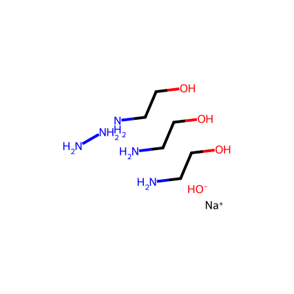 NCCO.NCCO.NCCO.NN.[Na+].[OH-]